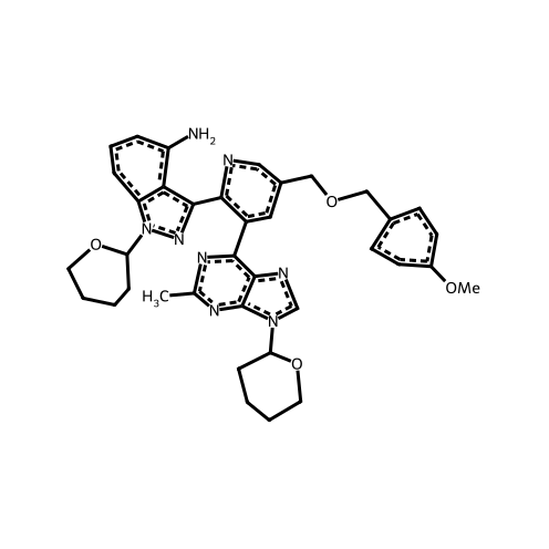 COc1ccc(COCc2cnc(-c3nn(C4CCCCO4)c4cccc(N)c34)c(-c3nc(C)nc4c3ncn4C3CCCCO3)c2)cc1